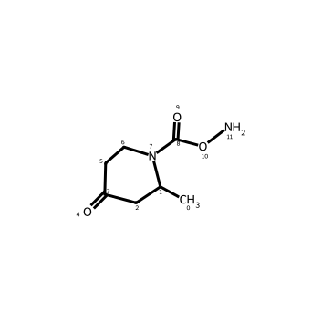 CC1CC(=O)CCN1C(=O)ON